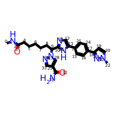 CNC(=O)CCCCCC(c1ncc(-c2ccc(-c3ccn(C)n3)cc2)[nH]1)n1cc(C(N)=O)cn1